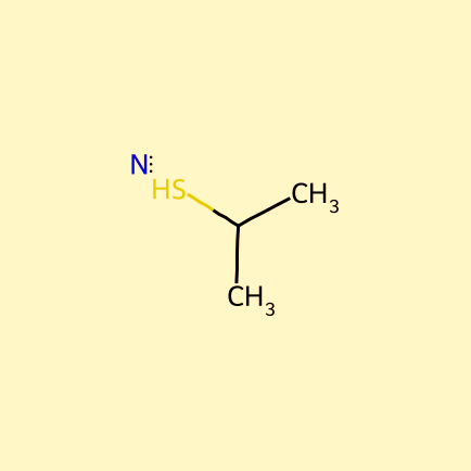 CC(C)S.[N]